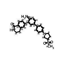 CS(=O)(=O)[C@@H]1CCN(c2ccc(-c3cnc(N)c(-c4ccc5c(c4)CCNC5=O)c3)cc2)C1